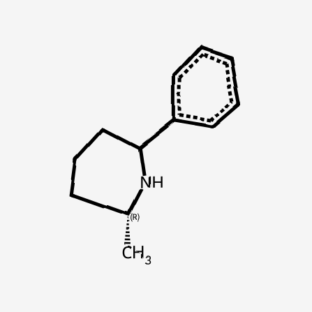 C[C@@H]1CCCC(c2ccccc2)N1